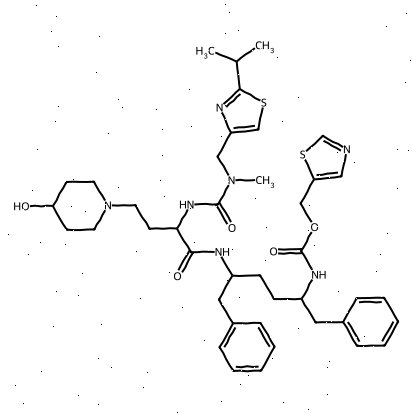 CC(C)c1nc(CN(C)C(=O)NC(CCN2CCC(O)CC2)C(=O)NC(CCC(Cc2ccccc2)NC(=O)OCc2cncs2)Cc2ccccc2)cs1